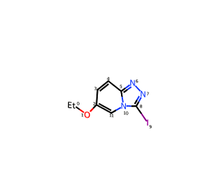 CCOc1ccc2nnc(I)n2c1